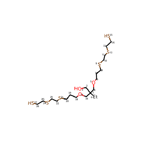 CCC(CO)(COCCCSCCSCCS)COCCCSCCSCCS